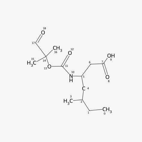 CCC(C)CC(CC(=O)O)NC(=O)OC(C)(C)C=O